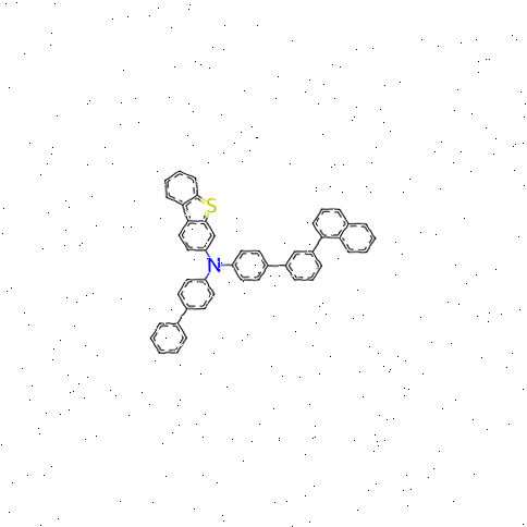 c1ccc(-c2ccc(N(c3ccc(-c4cccc(-c5cccc6ccccc56)c4)cc3)c3ccc4c(c3)sc3ccccc34)cc2)cc1